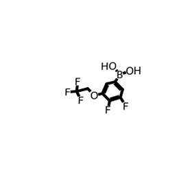 OB(O)c1cc(F)c(F)c(OCC(F)(F)F)c1